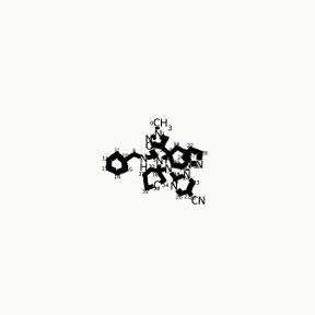 Cn1cc(C2(N(C(=O)NCc3ccccc3)C3(NC4N=CC(C#N)=CN4n4cccn4)CCCCC3)C=CC=CC2)cn1